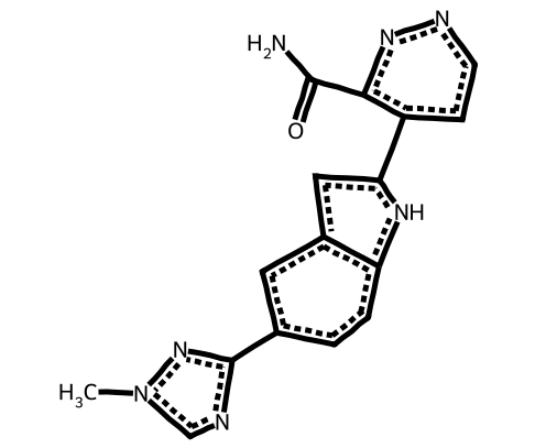 Cn1cnc(-c2ccc3[nH]c(-c4ccnnc4C(N)=O)cc3c2)n1